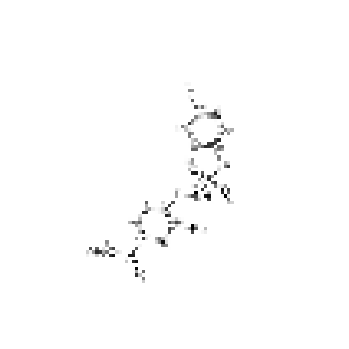 COC(=O)c1ccc(CNS(=O)(=O)Cc2ccc(F)cc2)c(F)c1